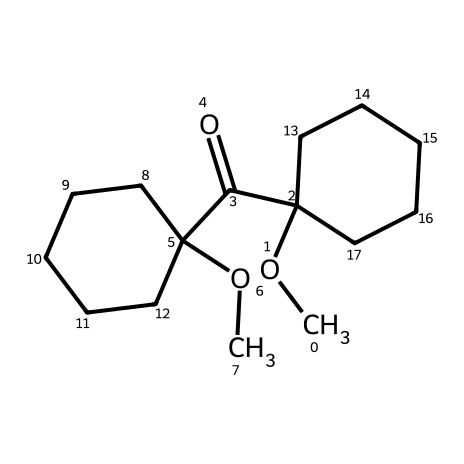 COC1(C(=O)C2(OC)CCCCC2)CCCCC1